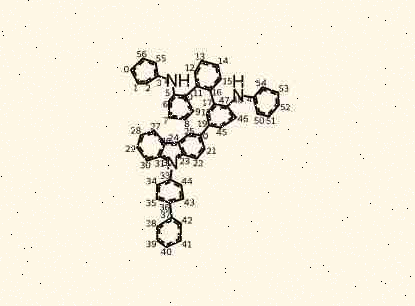 c1ccc(Nc2ccccc2-c2ccccc2-c2cc(-c3ccc4c(c3)c3ccccc3n4-c3ccc(-c4ccccc4)cc3)ccc2Nc2ccccc2)cc1